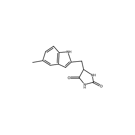 Cc1ccc2[nH]c(CC3NC(=O)NC3=O)cc2c1